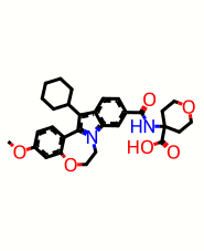 COc1ccc2c(c1)OCCn1c-2c(C2CCCCC2)c2ccc(C(=O)NC3(C(=O)O)CCOCC3)cc21